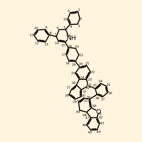 C1=CCCC(C2CC(c3ccccc3)C=C(C3=CC=C(c4ccc5c(c4)c4ccccc4n5-c4ccccc4C4=C5Oc6ccccc6C5CC=C4)CC3)N2)=C1